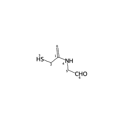 C=C(CS)NCC=O